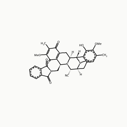 COC1=C(C)C(=O)C2=C(C1=O)[C@H](CN1C(=O)c3ccccc3C1=O)N1[C@@H](C#N)[C@@H]3Cc4cc(C)c(OC)c(O)c4[C@@H]([C@@H]1C2)N3C